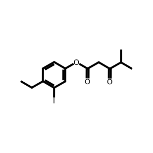 CCc1ccc(OC(=O)CC(=O)C(C)C)cc1I